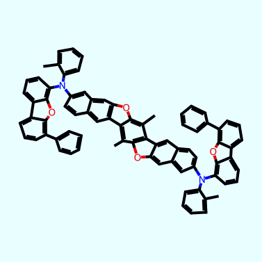 Cc1ccccc1N(c1ccc2cc3c(cc2c1)oc1c(C)c2c(oc4cc5cc(N(c6ccccc6C)c6cccc7c6oc6c(-c8ccccc8)cccc67)ccc5cc42)c(C)c13)c1cccc2c1oc1c(-c3ccccc3)cccc12